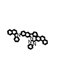 C1=C(c2nc3ccccc3nc2-n2c3ccccc3c3cc4ccc(-n5c6ccccc6c6c7ccccc7ccc65)cc4cc32)CCc2ccc3ccccc3c21